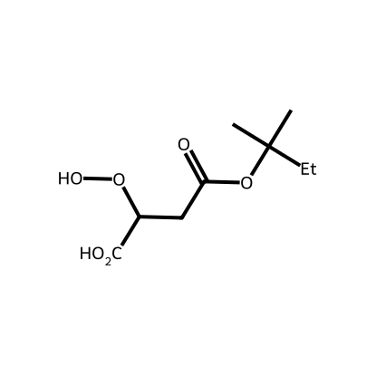 CCC(C)(C)OC(=O)CC(OO)C(=O)O